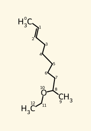 C/C=C/CCCCCC(C)OCC